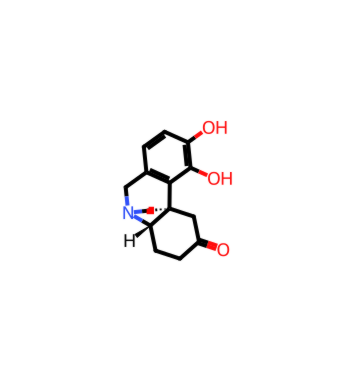 O=C1CC[C@@H]2N3CC[C@@]2(C1)c1c(ccc(O)c1O)C3